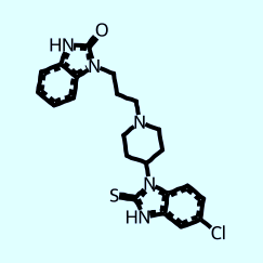 O=c1[nH]c2ccccc2n1CCCN1CCC(n2c(=S)[nH]c3cc(Cl)ccc32)CC1